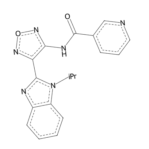 CC(C)n1c(-c2nonc2NC(=O)c2cccnc2)nc2ccccc21